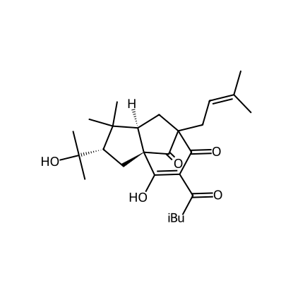 CCC(C)C(=O)C1=C(O)[C@]23C[C@H](C(C)(C)O)C(C)(C)[C@H]2CC(CC=C(C)C)(C1=O)C3=O